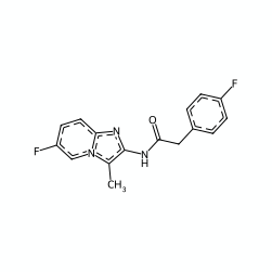 Cc1c(NC(=O)Cc2ccc(F)cc2)nc2ccc(F)cn12